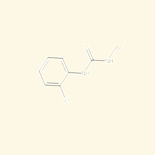 CCc1ccccc1NC(=O)NC(C)C